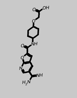 N=C(N)c1cnc2oc(C(=O)NC3CCC(OCC(=O)O)CC3)cc2c1